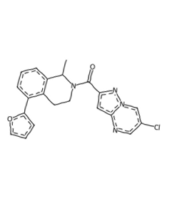 CC1c2cccc(-c3ccco3)c2CCN1C(=O)c1cc2ncc(Cl)cn2n1